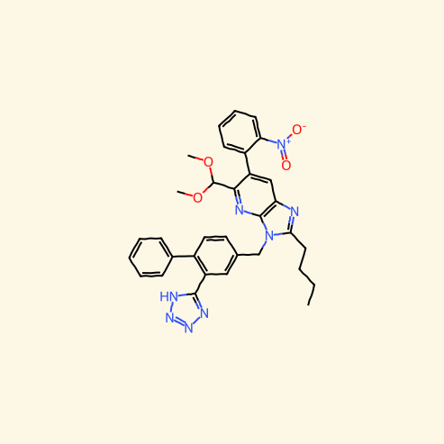 CCCCc1nc2cc(-c3ccccc3[N+](=O)[O-])c(C(OC)OC)nc2n1Cc1ccc(-c2ccccc2)c(-c2nnn[nH]2)c1